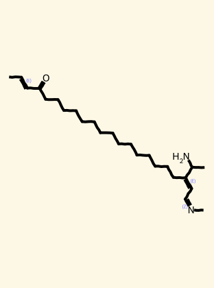 C/C=C/C(=O)CCCCCCCCCCCCCCC/C(=C\C=N/C)C(C)N